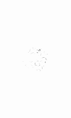 CCCN(CC)Cc1ccc(NC(=C2C(=O)Nc3ccc(S(=O)(=O)Nc4ccccc4)cc32)c2ccccc2)cc1